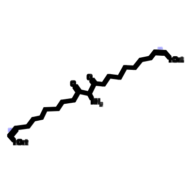 CCCCCCCC/C=C\CCCCCCCC(=O)C(N)C(=O)CCCCCCC/C=C\CCCCCCCC